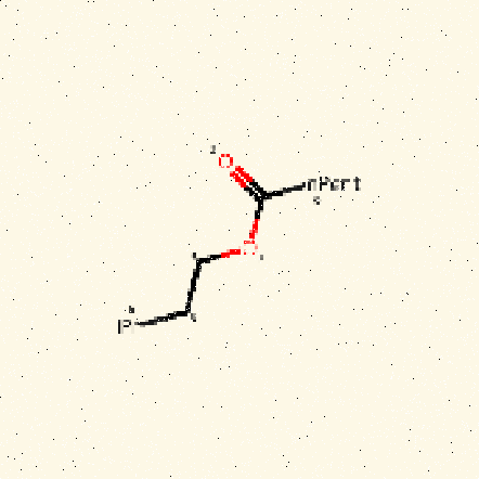 CCCCCC(=O)OCCC(C)C